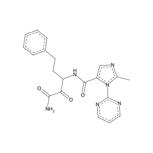 Cc1ncc(C(=O)NC(CCc2ccccc2)C(=O)C(N)=O)n1-c1ncccn1